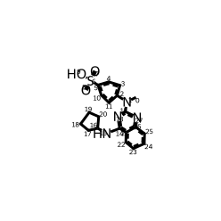 CN(c1ccc(S(=O)(=O)O)cc1)c1nc(NC2CCCC2)c2ccccc2n1